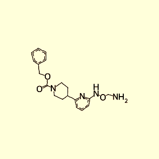 NCONc1cccc(C2CCN(C(=O)OCc3ccccc3)CC2)n1